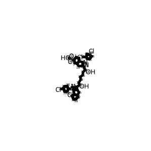 O=S(=O)(O)c1ccc2c(c1)Cc1c(C(O)CCCCCC(O)c3nn(-c4ccc(Cl)cc4Cl)c4c3Cc3ccccc3-4)nn(-c3ccc(Cl)cc3Cl)c1-2